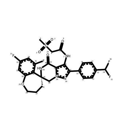 CS(=O)(=O)CC(=O)Nc1c(-c2ccc(C(F)F)cc2)nn2c1C(=O)N[C@@]1(CCCOc3cc(F)cc(F)c31)C2